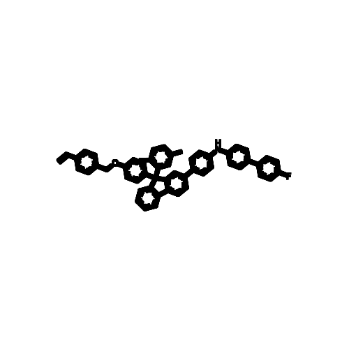 C=Cc1ccc(COc2ccc(C3(c4cc(C)ccc4C)c4ccccc4-c4ccc(-c5ccc(Nc6ccc(-c7ccc(F)cc7)cc6)cc5)cc43)cc2)cc1